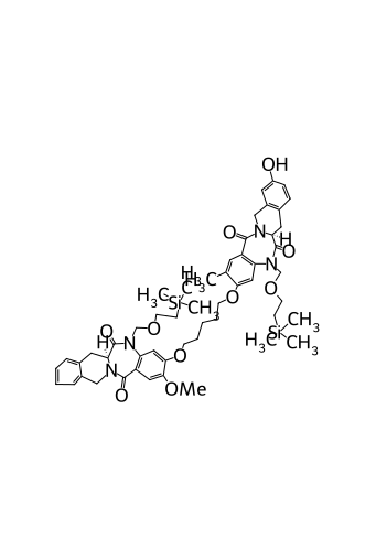 COc1cc2c(cc1OCCCCCOc1cc3c(cc1C)C(=O)N1Cc4cc(O)ccc4C[C@H]1C(=O)N3COCC[Si](C)(C)C)N(COCC[Si](C)(C)C)C(=O)[C@@H]1Cc3ccccc3CN1C2=O